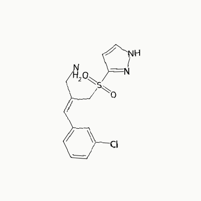 NCC(=Cc1cccc(Cl)c1)CS(=O)(=O)c1cc[nH]n1